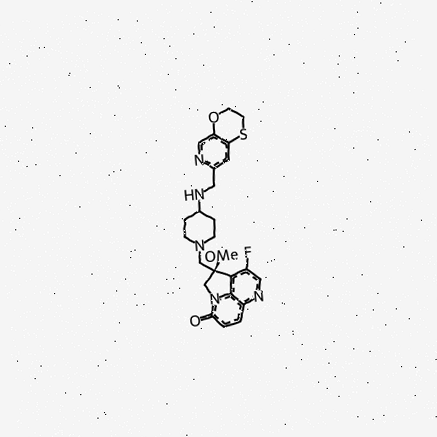 CO[C@]1(CN2CCC(NCc3cc4c(cn3)OCCS4)CC2)Cn2c(=O)ccc3ncc(F)c1c32